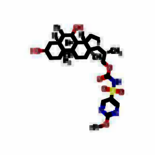 CCCOc1ncc(S(=O)(=O)NC(=O)OC[C@@H](C)[C@H]2CC[C@H]3[C@@H]4[C@H](O)[C@H](CC)[C@@H]5C[C@H](O)CC[C@]5(C)[C@H]4CC[C@]23C)cn1